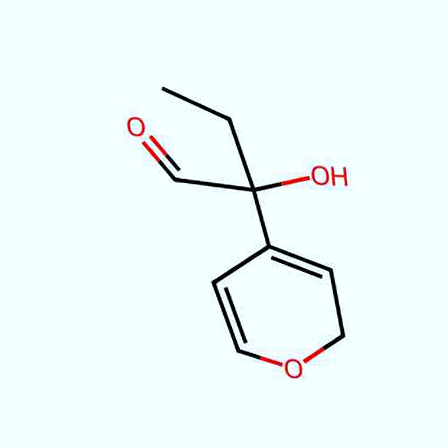 CCC(O)(C=O)C1=CCOC=C1